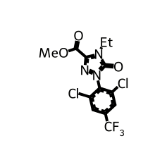 CCn1c(C(=O)OC)nn(-c2c(Cl)cc(C(F)(F)F)cc2Cl)c1=O